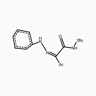 CC(=O)/C(=N/Nc1ccccc1)C(=O)NC(C)(C)C